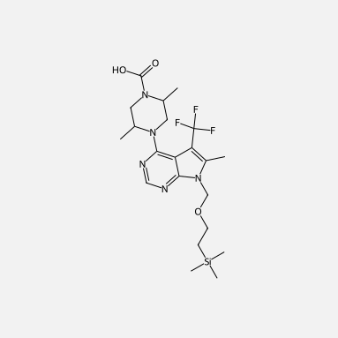 Cc1c(C(F)(F)F)c2c(N3CC(C)N(C(=O)O)CC3C)ncnc2n1COCC[Si](C)(C)C